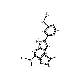 BN(C)c1nc2[nH]c(-c3cccc(CO)c3)cc2c2c1ncn2C